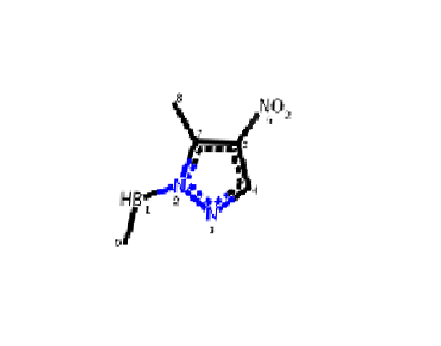 CBn1ncc([N+](=O)[O-])c1C